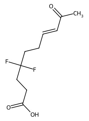 CC(=O)/C=C/CCC(F)(F)CCC(=O)O